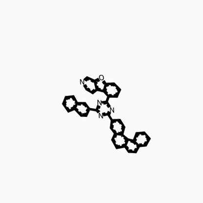 c1ccc2cc(-c3nc(-c4ccc5c(ccc6ccc7ccccc7c65)c4)nc(-c4cccc5oc6cnccc6c45)n3)ccc2c1